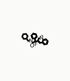 CN1CC(C2(F)C(=O)N(CC3CCCCC3)c3ccccc32)=Cc2ccccc21